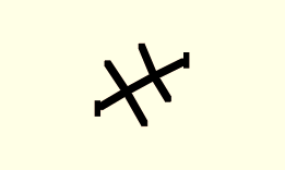 CC(C)(I)C(C)(C)I